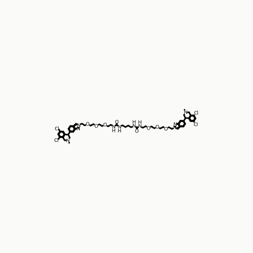 CN1Cc2c(Cl)cc(Cl)cc2C(c2ccc3cn(CCOCCOCCOCCNC(=O)NCCCCNC(=O)NCCOCCOCCOCCn4cc5ccc(C6CN(C)Cc7c(Cl)cc(Cl)cc76)cc5n4)nc3c2)C1